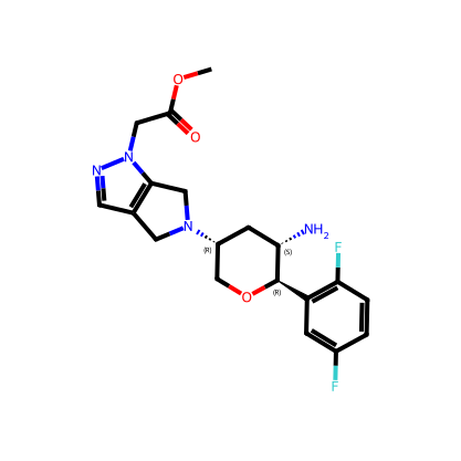 COC(=O)Cn1ncc2c1CN([C@H]1CO[C@H](c3cc(F)ccc3F)[C@@H](N)C1)C2